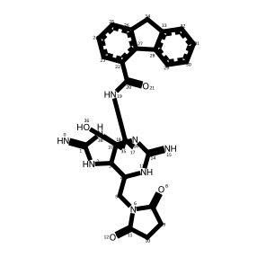 N=C1NC2C(CN3C(=O)CCC3=O)NC(=N)N3CC(NC(=O)c4cccc5c4-c4ccccc4C5)C(O)C23N1